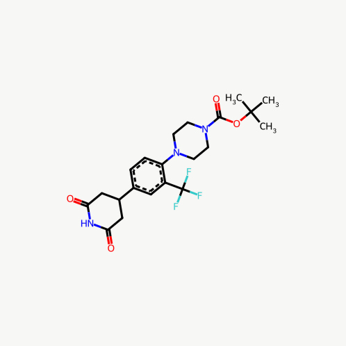 CC(C)(C)OC(=O)N1CCN(c2ccc(C3CC(=O)NC(=O)C3)cc2C(F)(F)F)CC1